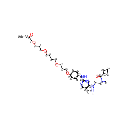 CNC(=O)COCCCOCCCCOCCCOc1ccc(Nc2ncc(C(F)(F)F)c(NCCN(C)C(=O)C3CCC3)n2)cc1